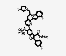 CNC(=O)c1c(-c2ccc(F)cc2)oc2cc(N(C)S(C)(=O)=O)c(-c3ccc4c(n3)-c3cc5c(F)cccc5n3C(CN3CC[C@H](F)C3)C4)cc12